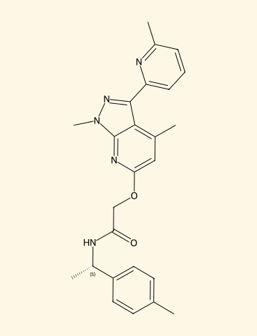 Cc1ccc([C@H](C)NC(=O)COc2cc(C)c3c(-c4cccc(C)n4)nn(C)c3n2)cc1